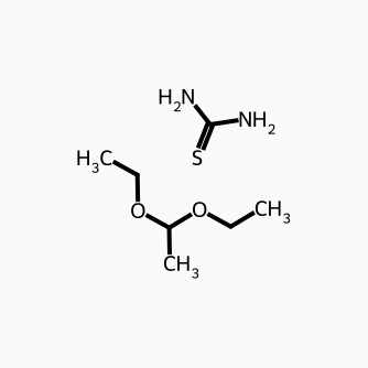 CCOC(C)OCC.NC(N)=S